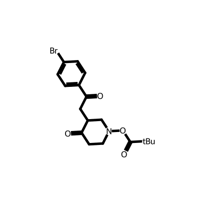 CC(C)(C)C(=O)ON1CCC(=O)C(CC(=O)c2ccc(Br)cc2)C1